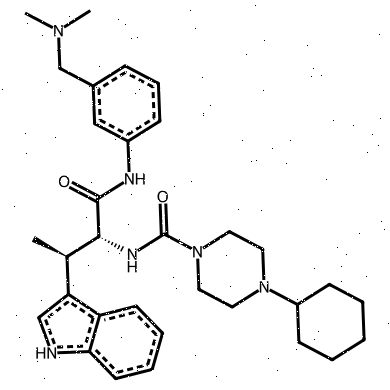 C[C@H](c1c[nH]c2ccccc12)[C@@H](NC(=O)N1CCN(C2CCCCC2)CC1)C(=O)Nc1cccc(CN(C)C)c1